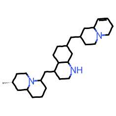 C[C@@H]1CCN2C(CC3CCNC4CC(CC5CCN6CCC=CC6C5)CCC34)CCCC2C1